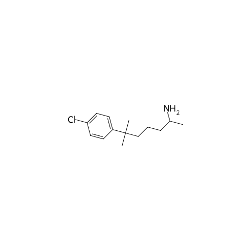 CC(N)CCCC(C)(C)c1ccc(Cl)cc1